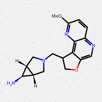 COc1ccc2ncc3c(c2n1)C(CN1C[C@@H]2[C@@H](N)[C@@H]2C1)CO3